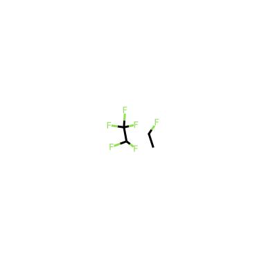 CCF.FC(F)C(F)(F)F